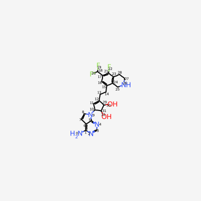 Nc1ncnc2c1ccn2C1C=C(CCc2cc(C(F)F)c(F)c3c2CNCC3)C(O)C1O